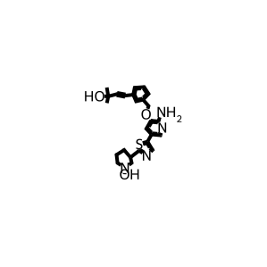 CC(C)(O)C#Cc1cccc(COc2cc(-c3cnc(C4CCCN(O)C4)s3)cnc2N)c1